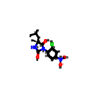 CC(C)C[C@]1(C)NC(=O)N(c2ccc([N+](=O)[O-])cc2Cl)C1=O